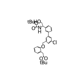 CC(C)(C)OC(=O)Cc1ccccc1OCc1cc(Cl)cc(-c2cccc(C(CO)NC(=O)OC(C)(C)C)c2)c1